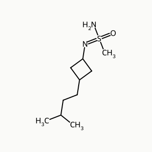 CC(C)CCC1CC(N=S(C)(N)=O)C1